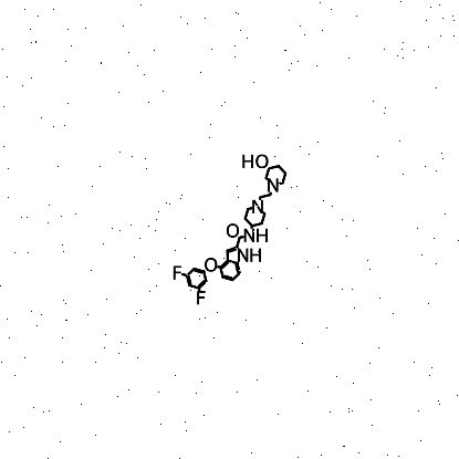 O=C(NC1CCN(CCN2CCCC(O)C2)CC1)c1cc2c(Oc3cc(F)cc(F)c3)cccc2[nH]1